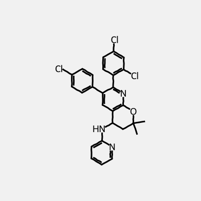 CC1(C)CC(Nc2ccccn2)c2cc(-c3ccc(Cl)cc3)c(-c3ccc(Cl)cc3Cl)nc2O1